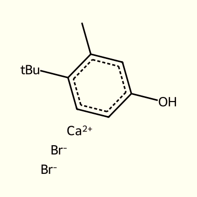 Cc1cc(O)ccc1C(C)(C)C.[Br-].[Br-].[Ca+2]